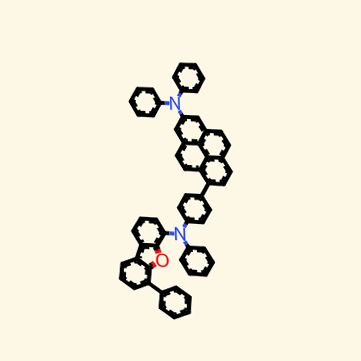 c1ccc(-c2cccc3c2oc2c(N(c4ccccc4)c4ccc(-c5ccc6ccc7cc(N(c8ccccc8)c8ccccc8)cc8ccc5c6c78)cc4)cccc23)cc1